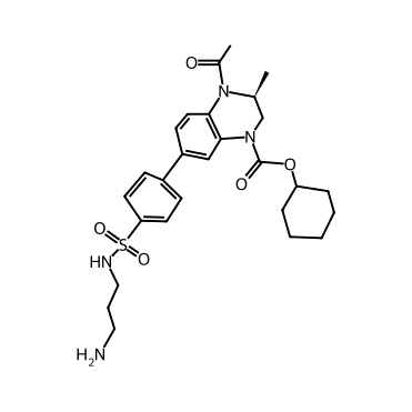 CC(=O)N1c2ccc(-c3ccc(S(=O)(=O)NCCCN)cc3)cc2N(C(=O)OC2CCCCC2)C[C@@H]1C